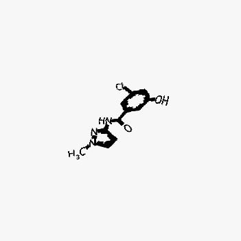 Cn1ccc(NC(=O)c2cc(O)cc(Cl)c2)n1